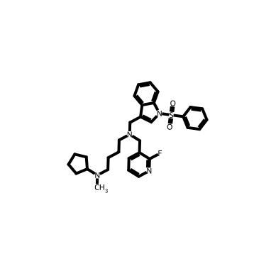 CN(CCCCN(Cc1cccnc1F)Cc1cn(S(=O)(=O)c2ccccc2)c2ccccc12)C1CCCC1